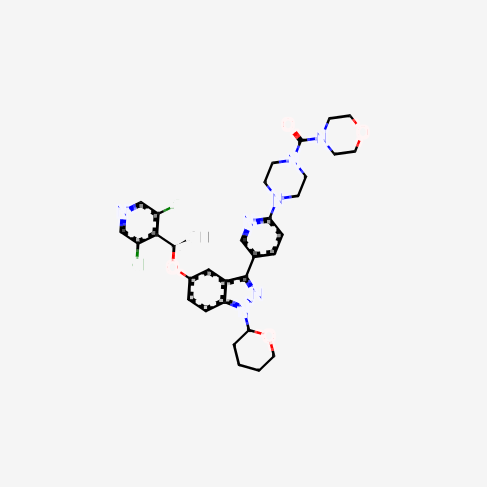 C[C@@H](Oc1ccc2c(c1)c(-c1ccc(N3CCN(C(=O)N4CCOCC4)CC3)nc1)nn2C1CCCCO1)c1c(Cl)cncc1Cl